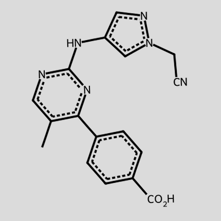 Cc1cnc(Nc2cnn(CC#N)c2)nc1-c1ccc(C(=O)O)cc1